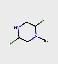 CCN1CC(F)NCC1F